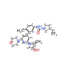 Cc1ccc(NC(=O)N2CCC(CC(F)(F)F)C2)cc1-c1cc(N2CCOCC2)nc(N2C[C@H](O)[C@@H]2C)c1